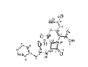 O=C(Cc1ccccc1)NC1C(=O)N2C(C(=O)O)=C(C=C(Br)Br)C[S+]([O-])[C@H]12